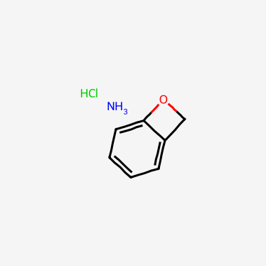 Cl.N.c1ccc2c(c1)CO2